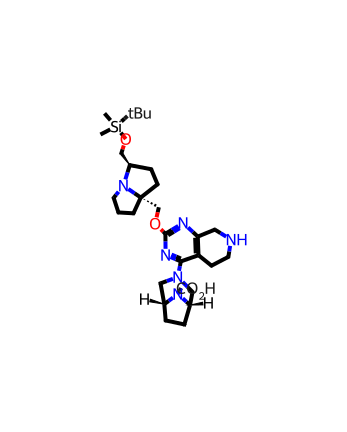 CC(C)(C)[Si](C)(C)OC[C@H]1CC[C@@]2(COc3nc4c(c(N5C[C@H]6CC[C@@H](C5)N6C(=O)O)n3)CCNC4)CCCN12